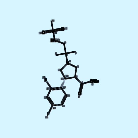 COC(=O)C1CN(C(C)(C)CNS(C)(=O)=O)C[C@H]1c1ccc(F)cc1F